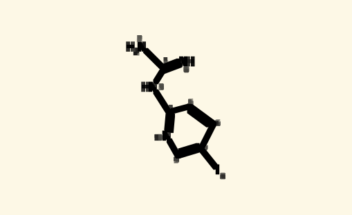 N=C(N)Nc1ccc(I)cn1